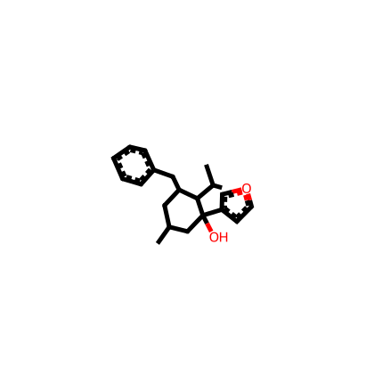 CC1CC(Cc2ccccc2)C(C(C)C)C(O)(c2ccoc2)C1